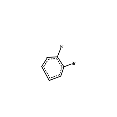 Brc1[c]cc[c]c1Br